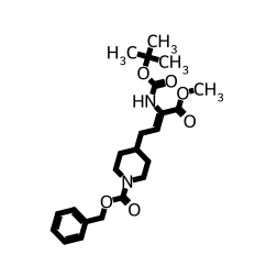 COC(=O)C(=CCC1CCN(C(=O)OCc2ccccc2)CC1)NC(=O)OC(C)(C)C